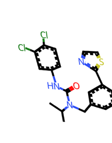 CC(C)N(Cc1cccc(-c2nccs2)c1)C(=O)Nc1ccc(Cl)c(Cl)c1